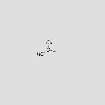 C[O][Cu].Cl